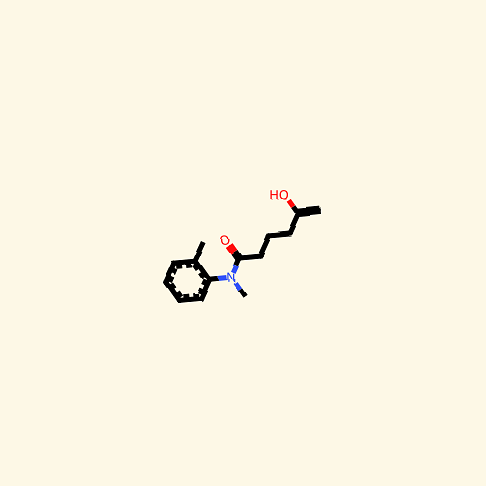 C=C(O)CCCC(=O)N(C)c1ccccc1C